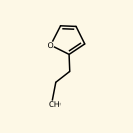 [CH]CCc1ccco1